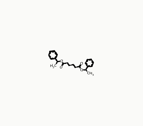 CC(OC(=O)CCCCC(=O)OC(C)c1ccccc1)c1ccccc1